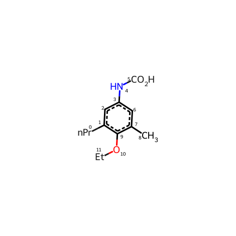 CCCc1cc(NC(=O)O)cc(C)c1OCC